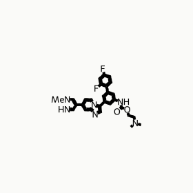 CN/C=C(\C=N)c1ccn2c(-c3cc(NC(=O)OCCN(C)C)cc(-c4ccc(F)cc4F)c3)cnc2c1